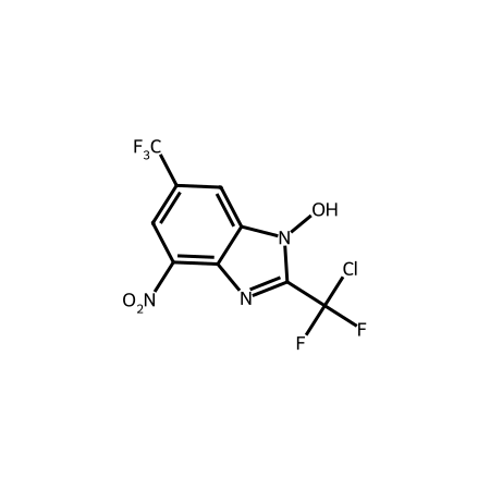 O=[N+]([O-])c1cc(C(F)(F)F)cc2c1nc(C(F)(F)Cl)n2O